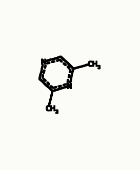 Cc1cncc(C)n1